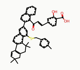 Cc1ccc(CSc2cc(-c3ccc4ccccc4c3C(=O)C=Cc3ccc(C(=O)O)c(O)c3)cc3ccc4c(c23)C(C)(C)CC2=C4C=CC(C)(C)C2)cc1